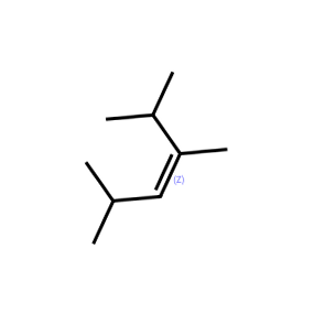 C/C(=C/C(C)C)C(C)C